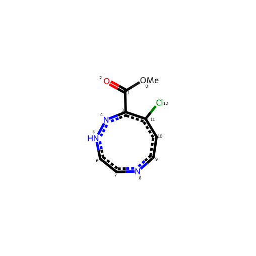 COC(=O)c1n[nH]ccnccc1Cl